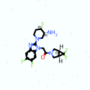 N[C@@H]1CN(c2nc3cc(F)c(F)cc3n2CC(=O)N2C[C@@H]3[C@H](C2)C3(F)F)CC[C@H]1F